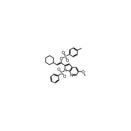 COc1cnc2c(c1)cc(/C(=C/C1CCCCC1)OS(=O)(=O)c1ccc(C)cc1)n2S(=O)(=O)c1ccccc1